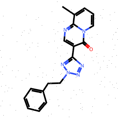 Cc1cccn2c(=O)c(-c3nnn(CCc4ccccc4)n3)cnc12